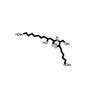 CCCCCCCCCCCCCCCCCC(O)CC(=O)NC(CO)C(O)CCCCCCCCCCCCCCC